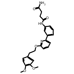 COc1ccc(CCOc2cccc(-c3cccc(NC(=O)CCC(N)=O)c3)n2)cc1OC